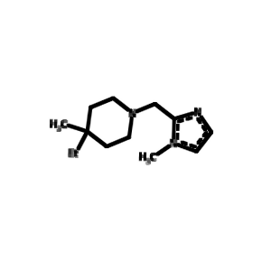 CCC1(C)CCN(Cc2nccn2C)CC1